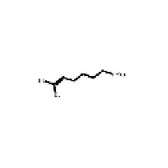 [CH2]CC(=CCCCCCCCCCC)CC